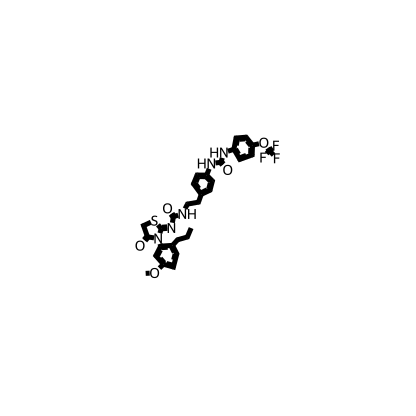 CCCc1ccc(OC)cc1N1C(=O)CSC1=NC(=O)NCCc1ccc(NC(=O)Nc2ccc(OC(F)(F)F)cc2)cc1